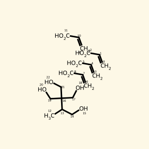 C=CC(=O)O.C=CC(=O)O.C=CC(=O)O.C=CC(=O)O.CC(CO)C(CO)(CO)CO